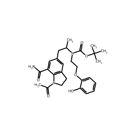 CC(=O)N1CCc2cc(CC(C)N(CCOc3ccccc3O)C(=O)OC(C)(C)C)cc(C(N)=O)c21